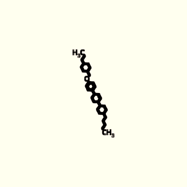 CCCCCC1CCC(C2C=CC(c3ccc(OCC4CCC(CCC)CC4)cc3)CC2)CC1